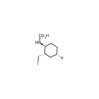 O=C(O)N[C@H]1CC[C@H](F)C[C@@H]1CI